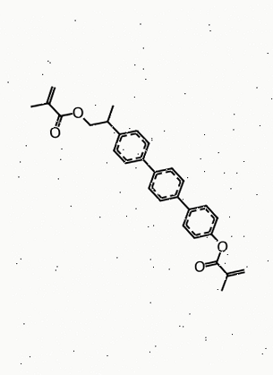 C=C(C)C(=O)OCC(C)c1ccc(-c2ccc(-c3ccc(OC(=O)C(=C)C)cc3)cc2)cc1